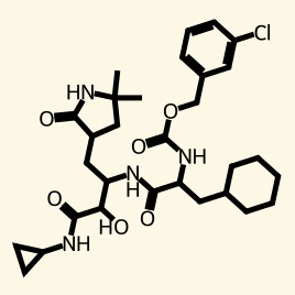 CC1(C)CC(CC(NC(=O)C(CC2CCCCC2)NC(=O)OCc2cccc(Cl)c2)C(O)C(=O)NC2CC2)C(=O)N1